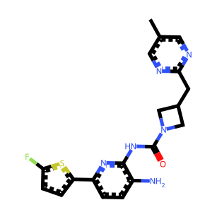 Cc1cnc(CC2CN(C(=O)Nc3nc(-c4ccc(F)s4)ccc3N)C2)nc1